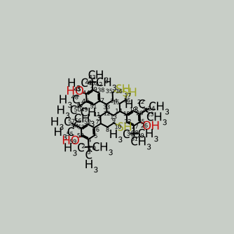 CC(C)(C)c1cc(C(CCS)CC(CC(CCS)c2cc(C(C)(C)C)c(O)c(C(C)(C)C)c2)C(CCS)c2cc(C(C)(C)C)c(O)c(C(C)(C)C)c2)cc(C(C)(C)C)c1O